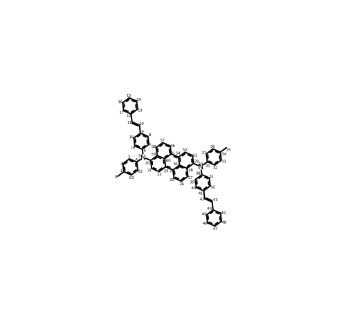 Cc1ccc(N(c2ccc(/C=C/c3ccccc3)cc2)c2ccc3c4cccc5c(N(c6ccc(C)cc6)c6ccc(/C=C/c7ccccc7)cc6)ccc(c6cccc2c63)c54)cc1